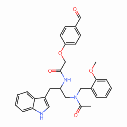 COc1ccccc1CN(CC(Cc1c[nH]c2ccccc12)NC(=O)COc1ccc(C=O)cc1)C(C)=O